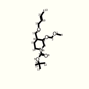 COCOC1CN(C(=O)OC(C)(C)C)CCC1COC/C=C/I